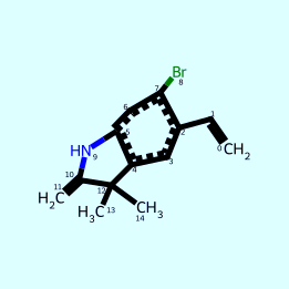 C=Cc1cc2c(cc1Br)NC(=C)C2(C)C